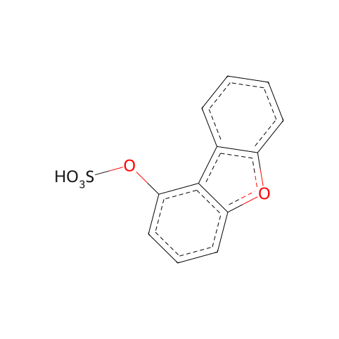 O=S(=O)(O)Oc1cccc2oc3ccccc3c12